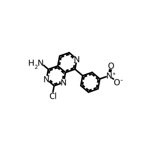 Nc1nc(Cl)nc2c(-c3cccc([N+](=O)[O-])c3)nccc12